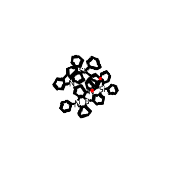 c1ccc(N2c3ccccc3B3c4cccc([Si](c5ccccc5)(c5ccccc5)c5ccccc5)c4N(c4cccc([Si](c5ccccc5)(c5ccccc5)c5ccccc5)c4)c4cc(-n5c6ccccc6c6ccccc65)cc2c43)cc1